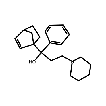 OC(CCN1CCCCC1)(c1ccccc1)C12C=CC(CC1)C2